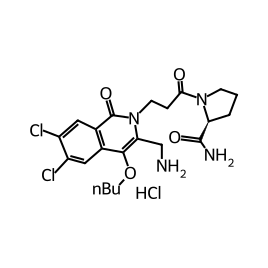 CCCCOc1c(CN)n(CCC(=O)N2CCC[C@H]2C(N)=O)c(=O)c2cc(Cl)c(Cl)cc12.Cl